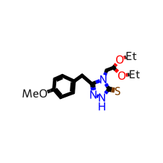 CCOC(Cn1c(Cc2ccc(OC)cc2)n[nH]c1=S)OCC